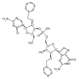 Nc1ncn([C@@H]2O[C@H](CO)[C@H](OP(=O)(O)OC[C@H]3O[C@@H](n4cnc5c(=O)[nH]c(N)nc54)[C@@H](OCc4ccccc4)[C@H]3O)[C@@H]2OCc2ccccc2)c(=O)n1